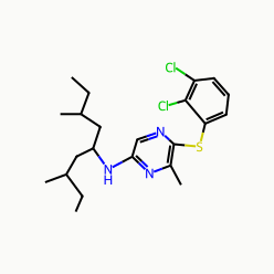 CCC(C)CC(CC(C)CC)Nc1cnc(Sc2cccc(Cl)c2Cl)c(C)n1